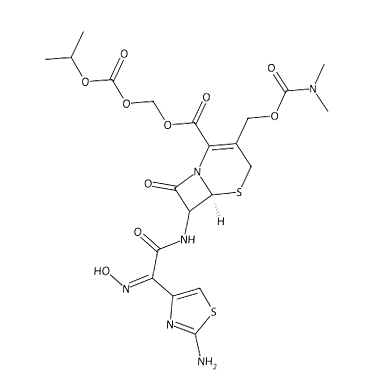 CC(C)OC(=O)OCOC(=O)C1=C(COC(=O)N(C)C)CS[C@H]2C(NC(=O)/C(=N\O)c3csc(N)n3)C(=O)N12